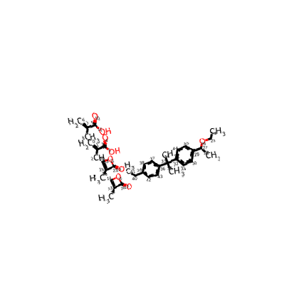 C=C(C)C(=O)O.C=C(C)C(=O)O.CC1=COC1=O.CC1=COC1=O.CCOC(C)c1ccc(C(C)(C)c2ccc(CC)cc2)cc1